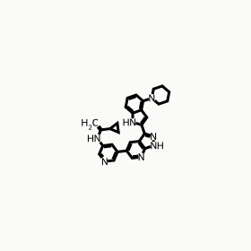 C=C(Nc1cncc(-c2cnc3[nH]nc(-c4cc5c(N6CCCCC6)cccc5[nH]4)c3c2)c1)C1CC1